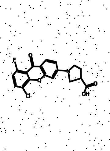 O=C(O)C1CCN(c2ccc3c(=O)c4c(F)ccc(Cl)c4oc3c2)C1